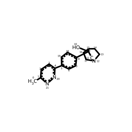 Cc1ccc(-c2ccc(C3(O)CN4CCC3CC4)cc2)nn1